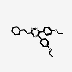 CCOc1ccc(-c2nnc(CCC3CCCCC3)nc2-c2ccc(OCC)cc2)cc1